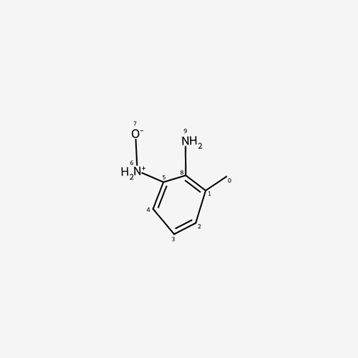 Cc1cccc([NH2+][O-])c1N